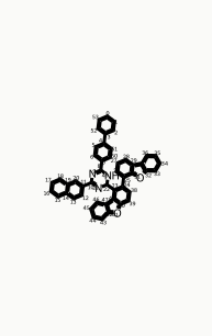 c1ccc(-c2ccc(C3=NC(c4ccc5ccccc5c4)=NC(c4c(-c5cccc6c5oc5ccccc56)ccc5oc6ccccc6c45)N3)cc2)cc1